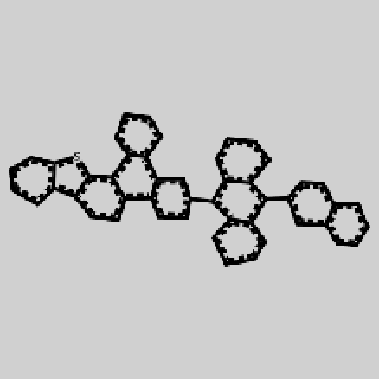 c1ccc2cc(-c3c4ccccc4c(-c4ccc5c(c4)c4ccccc4c4c5ccc5c6ccccc6sc54)c4ccccc34)ccc2c1